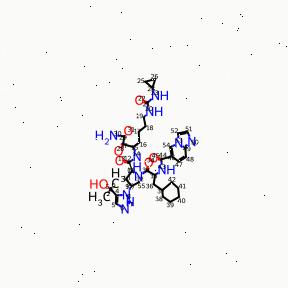 CC(C)(O)c1cnnn1[C@H]1C[C@@H](C(=O)NC(CCCCNC(=O)NC2CC2)C(=O)C(N)=O)N(C(=O)C(CC2CCCCC2)NC(=O)c2ccc3nccn3c2)C1